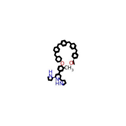 CC1C=C(C2=C[C@H](C3CCCN3)NC(C3CCC=N3)C2)C=C[C@H]1OC1CCC(CC2=CC=C(Cc3ccc(CC4C=CC(Cc5ccc([C@@H]6CO6)cc5)=CC4)cc3)CC2)CC1